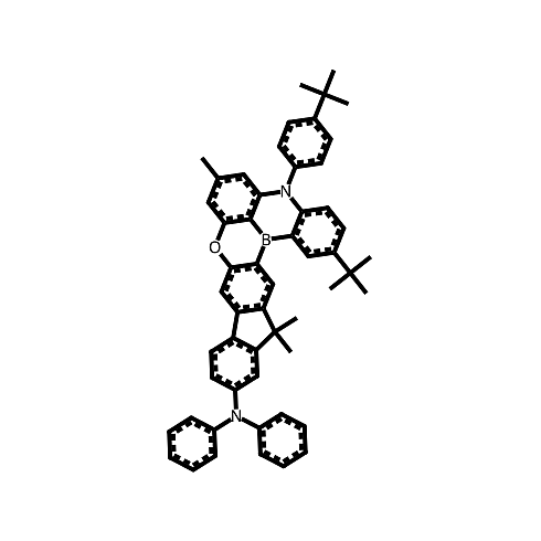 Cc1cc2c3c(c1)N(c1ccc(C(C)(C)C)cc1)c1ccc(C(C)(C)C)cc1B3c1cc3c(cc1O2)-c1ccc(N(c2ccccc2)c2ccccc2)cc1C3(C)C